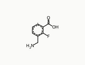 NCc1cc[c]c(C(=O)O)c1F